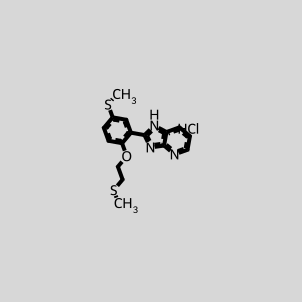 CSCCOc1ccc(SC)cc1-c1nc2ncccc2[nH]1.Cl